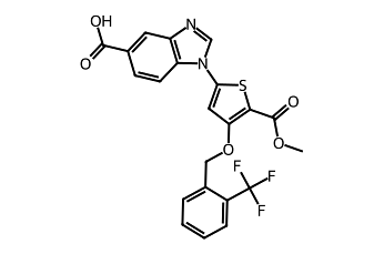 COC(=O)c1sc(-n2cnc3cc(C(=O)O)ccc32)cc1OCc1ccccc1C(F)(F)F